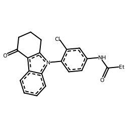 CCC(=O)Nc1ccc(-n2c3c(c4ccccc42)C(=O)CCC3)c(Cl)c1